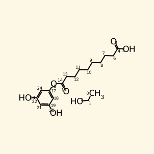 CCO.O=C(O)CCCCCCCCC(=O)Oc1cc(O)cc(O)c1